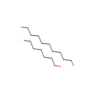 CCCCCCCCCCCCCCCCCCCC(=O)O.CCCCCCCCCCCCCCCCO